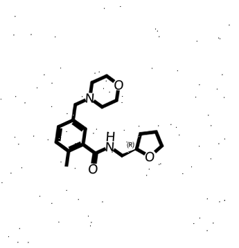 Cc1ccc(CN2CCOCC2)cc1C(=O)NC[C@H]1CCCO1